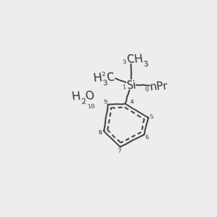 CCC[Si](C)(C)c1ccccc1.O